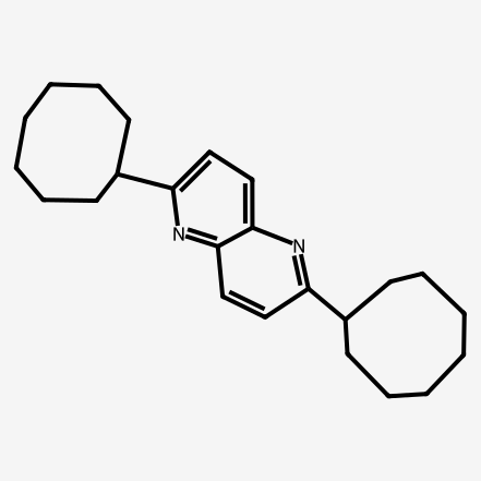 c1cc2nc(C3CCCCCCC3)ccc2nc1C1CCCCCCC1